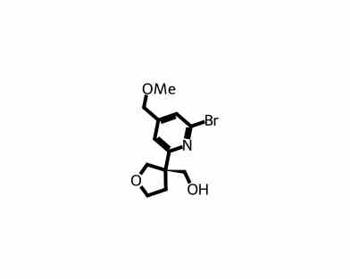 COCc1cc(Br)nc([C@]2(CO)CCOC2)c1